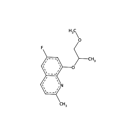 COCC(C)Oc1cc(F)cc2ccc(C)nc12